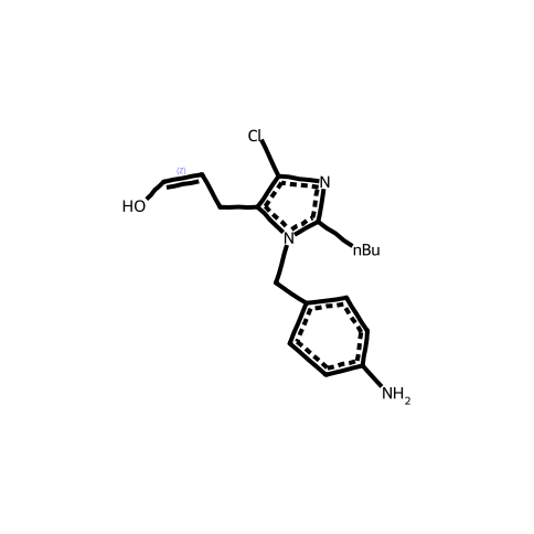 CCCCc1nc(Cl)c(C/C=C\O)n1Cc1ccc(N)cc1